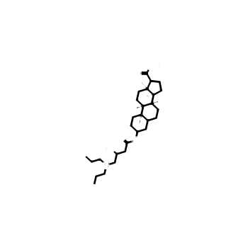 CCCN(CCC)CC(O)CC(=O)OC1CC[C@@]2(C)C(CC[C@@H]3[C@H]2CC[C@]2(C)C(C(=O)O)CC[C@@H]32)C1